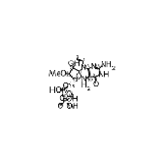 C=CN(c1nc(N)[nH]c(=O)c1N)[C@@H]1O[C@H](COP(=O)(O)OP(=O)(O)O)C(OC)C1O